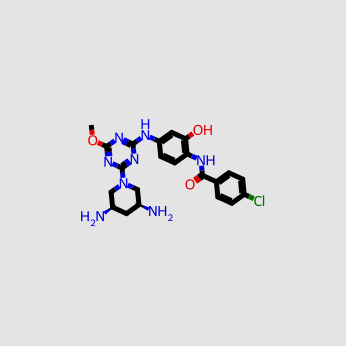 COc1nc(Nc2ccc(NC(=O)c3ccc(Cl)cc3)c(O)c2)nc(N2C[C@H](N)C[C@H](N)C2)n1